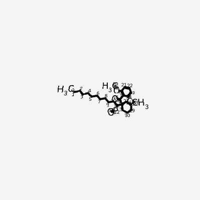 CCCCCCCCCCCC(P=O)C1(C(=O)c2c(OC)cccc2OC)CCCCC1